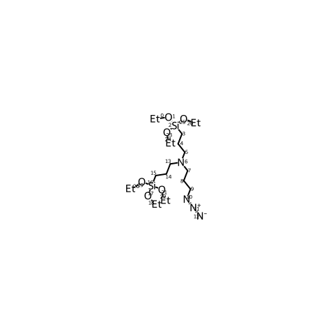 CCO[Si](CCCN(CCCN=[N+]=[N-])CCC[Si](OCC)(OCC)OCC)(OCC)OCC